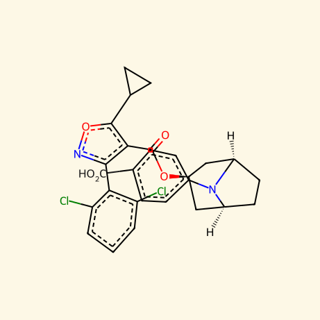 O=C(O)c1ccc(N2[C@@H]3CC[C@H]2C[C@@H](OC(=O)c2c(-c4c(Cl)cccc4Cl)noc2C2CC2)C3)cc1